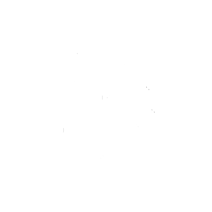 COc1ccc(C(O)c2cncnc2)c(OC)c1.Clc1ccc(Oc2ccc(Cl)cc2Cl)c(Cl)c1